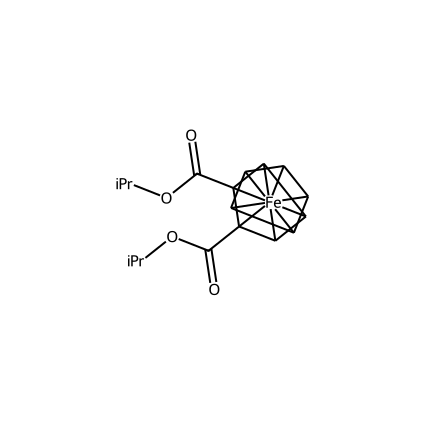 CC(C)OC(=O)[C]12[CH]3[CH]4[CH]5[C]1(C(=O)OC(C)C)[Fe]43521678[CH]2[CH]1[CH]6[CH]7[CH]28